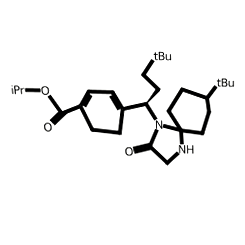 CC(C)OC(=O)C1=CC=C([C@@H](CCC(C)(C)C)N2C(=O)CNC23CCC(C(C)(C)C)CC3)CC1